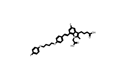 Cc1c(CCCC(=O)O)c2cc(F)cc(C=Cc3ccc(OCCCCOc4ccc(F)cc4)cc3)c2n1CC(=O)O